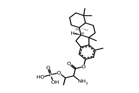 Cc1cc(OC(=O)C(N)C(C)OP(=O)(O)O)cc2c1C1(C)CCC3C(C)(C)CCC[C@]3(C)[C@H]1C2